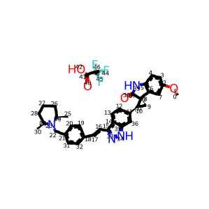 COc1ccc2c(c1)[C@]1(C[C@H]1c1ccc3c(C=Cc4ccc(CN5[C@H](C)CCC[C@@H]5C)cc4)n[nH]c3c1)C(=O)N2.O=C(O)C(F)(F)F